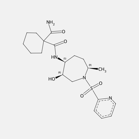 C[C@@H]1CC[C@H](NC(=O)C2(C(N)=O)CCCCC2)[C@H](O)CN1S(=O)(=O)c1ccccn1